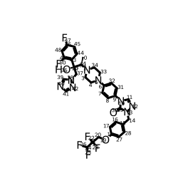 C[C@@H](N1CCN(c2ccc(-n3cnn(Cc4ccc(OCC(F)(F)C(F)F)cc4)c3=O)cc2)CC1)[C@](O)(Cn1cncn1)c1ccc(F)cc1F